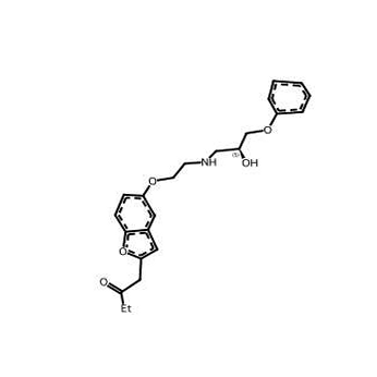 CCC(=O)Cc1cc2cc(OCCNC[C@H](O)COc3ccccc3)ccc2o1